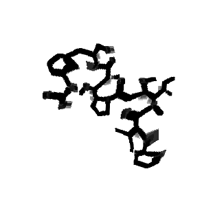 CC[C@H](C)[C@@H]([C@@H](CC(=O)N1CCC[C@H]1[C@H](OC)[C@@H](C)C(=O)N[C@H](CO)Cc1cccc(NC(=O)O)c1)OC)N(C)C(=O)[C@@H](Nc1ncccn1)C(C)C